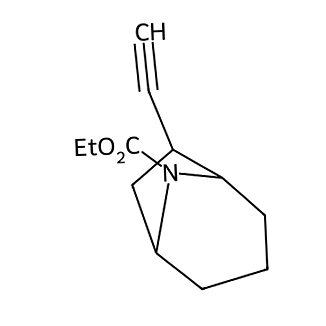 C#CC1CC2CCCC1N2C(=O)OCC